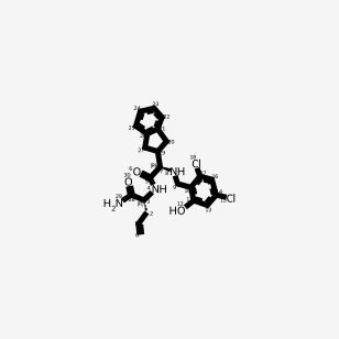 C=CC[C@@H](NC(=O)[C@H](NCc1c(O)cc(Cl)cc1Cl)C1Cc2ccccc2C1)C(N)=O